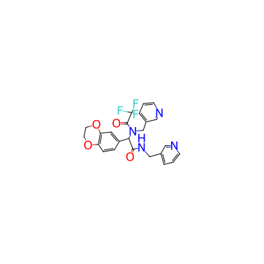 O=C(NCc1cccnc1)C(c1ccc2c(c1)OCCO2)N(Cc1cccnc1)C(=O)C(F)(F)F